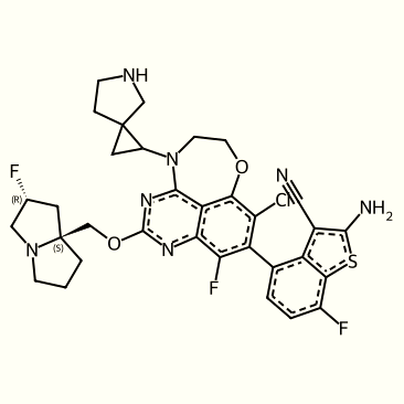 N#Cc1c(N)sc2c(F)ccc(-c3c(Cl)c4c5c(nc(OC[C@@]67CCCN6C[C@H](F)C7)nc5c3F)N(C3CC35CCNC5)CCO4)c12